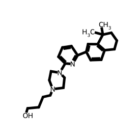 CC1(C)CCCc2ccc(-c3cccc(N4CCN(CCCCO)CC4)n3)cc21